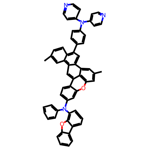 Cc1ccc2c(-c3ccc(N(c4ccncc4)c4ccncc4)cc3)cc3c4cc(C)cc5c4c(cc3c2c1)-c1ccc(N(c2ccccc2)c2cccc3c2oc2ccccc23)cc1O5